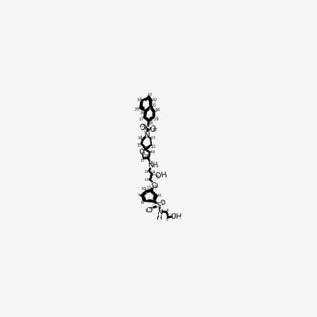 O=S(=O)(NCCO)c1cccc(OC[C@@H](O)CNC2COC3(CCN(S(=O)(=O)c4ccc5ccccc5c4)CC3)C2)c1